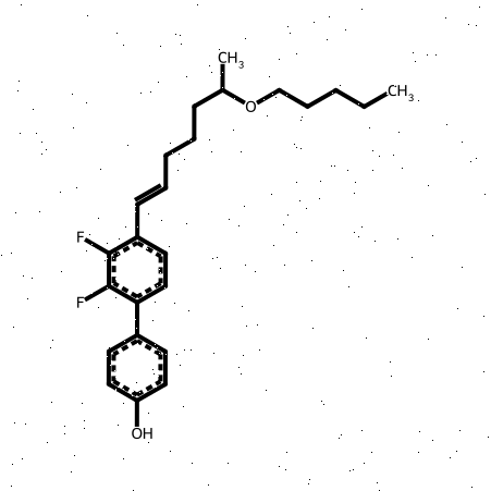 CCCCCOC(C)CCC/C=C/c1ccc(-c2ccc(O)cc2)c(F)c1F